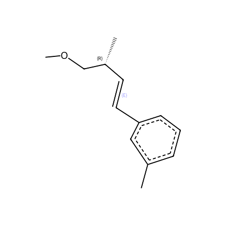 COC[C@H](C)/C=C/c1cccc(C)c1